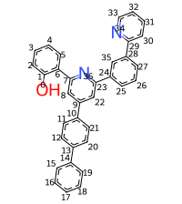 Oc1ccccc1-c1cc(-c2ccc(-c3ccccc3)cc2)cc(-c2cccc(-c3ccccn3)c2)n1